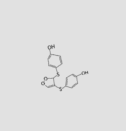 Oc1ccc(SC2=COOC2Sc2ccc(O)cc2)cc1